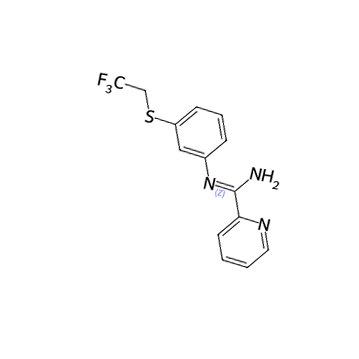 N/C(=N\c1cccc(SCC(F)(F)F)c1)c1ccccn1